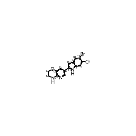 Clc1cc2[nH]c(-c3cnc4c(c3)OCCN4)cc2cc1Br